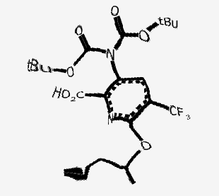 C=CCC(C)Oc1nc(C(=O)O)c(N(C(=O)OC(C)(C)C)C(=O)OC(C)(C)C)cc1C(F)(F)F